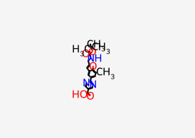 Cc1cc(-c2ncc(C(=O)O)cn2)cc2cc(CNC(=O)OC(C)(C)C)oc12